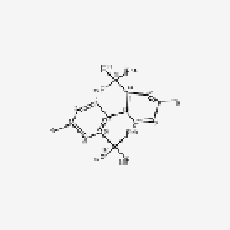 Cc1ccc(-c2ccc(C)cc2C(F)(F)F)c(C(F)(F)F)c1